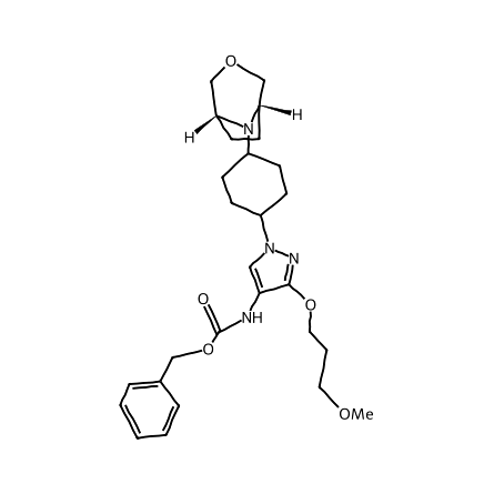 COCCCOc1nn(C2CCC(N3[C@@H]4CC[C@H]3COC4)CC2)cc1NC(=O)OCc1ccccc1